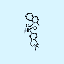 Cc1ccc2ccccc2c1S(=O)(=O)Nc1ccc2c(c1)CC[N+](C)(C)C2.[I-]